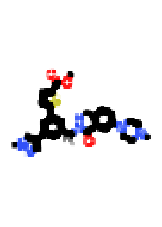 COC(=O)c1ccc(-c2cc(-c3cnn(C)c3)cc([C@@H](C)NC(=O)c3cc(N4CCN(C)CC4)ccc3C)c2)s1